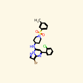 Cc1cccc(S(=O)(=O)N2CCC(Nc3cc(-c4ccccc4Cl)nc4c(Br)cnn34)CC2)c1